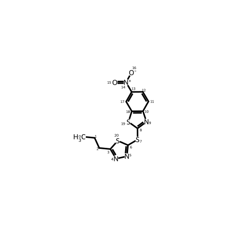 CCCc1nnc(Sc2nc3ccc([N+](=O)[O-])cc3s2)s1